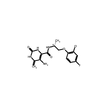 C=C1NC(=O)NC(C(=O)N[C@H](C)COc2ccc(F)cc2Cl)=C1N